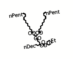 CCCCC/C=C\C/C=C\CCCCCCCC(=O)OCC(COC(=O)CCCCCCC/C=C\C/C=C\CCCCC)OC(=O)CCC(CCCCCCCCCCCC)OC(=O)OC1CCN(CC)CC1